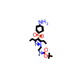 CCc1nn(CCN(C)C(=O)OC(C)(C)C)c(CC)c1S(=O)(=O)c1ccc(N)cc1